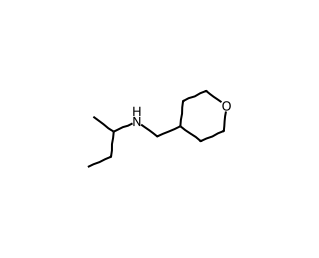 CCC(C)NCC1CCOCC1